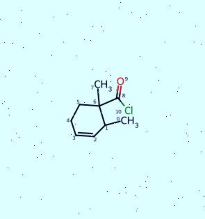 CC1C=CCCC1(C)C(=O)Cl